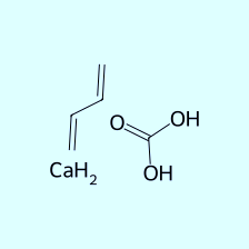 C=CC=C.O=C(O)O.[CaH2]